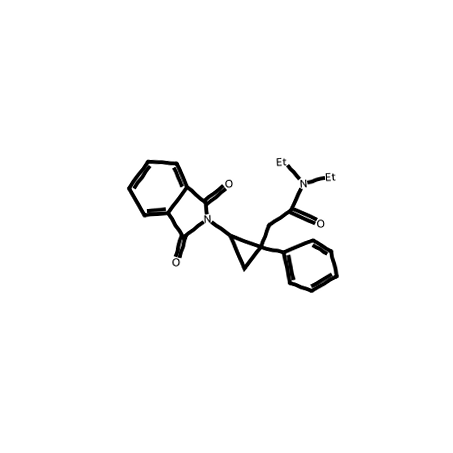 CCN(CC)C(=O)CC1(c2ccccc2)CC1N1C(=O)c2ccccc2C1=O